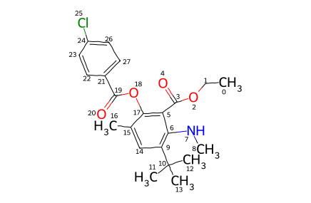 CCOC(=O)c1c(NC)c(C(C)(C)C)cc(C)c1OC(=O)c1ccc(Cl)cc1